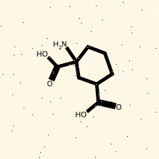 NC1(C(=O)O)CCCC(C(=O)O)C1